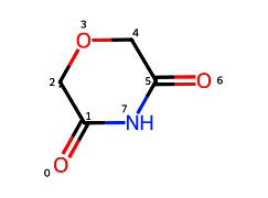 O=C1[CH]OCC(=O)N1